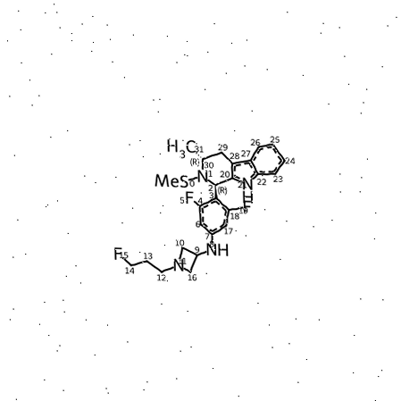 CSN1[C@H](c2c(F)cc(NC3CN(CCCF)C3)cc2F)c2[nH]c3ccccc3c2C[C@H]1C